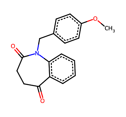 COc1ccc(CN2C(=O)CCC(=O)c3ccccc32)cc1